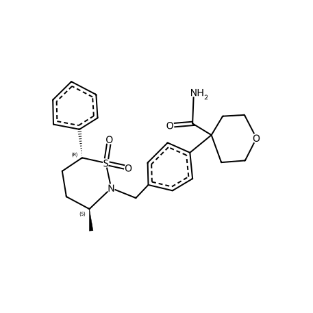 C[C@H]1CC[C@H](c2ccccc2)S(=O)(=O)N1Cc1ccc(C2(C(N)=O)CCOCC2)cc1